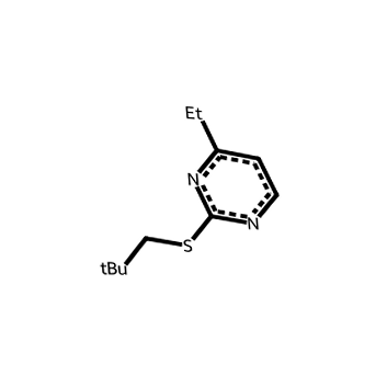 CCc1ccnc(SCC(C)(C)C)n1